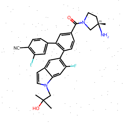 CC(C)(O)Cn1ccc2cc(-c3ccc(C(=O)N4CC[C@](C)(N)C4)cc3-c3ccc(C#N)c(F)c3)c(F)cc21